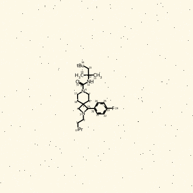 CC(C)CCN1CC2(CCN(C(=O)NC(C)(C)CC(C)(C)C)CC2)C1c1ccc(F)cc1